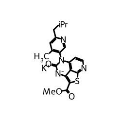 COC(=O)c1sc2nccc3c2c1[N-]C(=O)N3c1cnc(CC(C)C)cc1C.[K+]